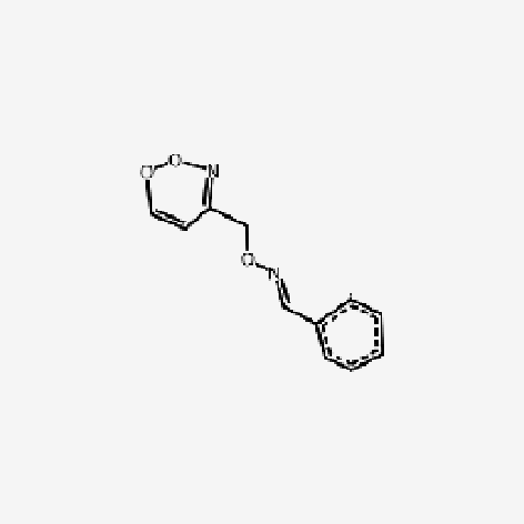 [c]1ccccc1/C=N/OCC1=NOOC=C1